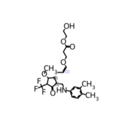 COC1C(C(F)(F)F)C(=O)[C@H](CNc2ccc(C)c(C)c2)[C@H]1C/C=C\OCCC(=O)OCCO